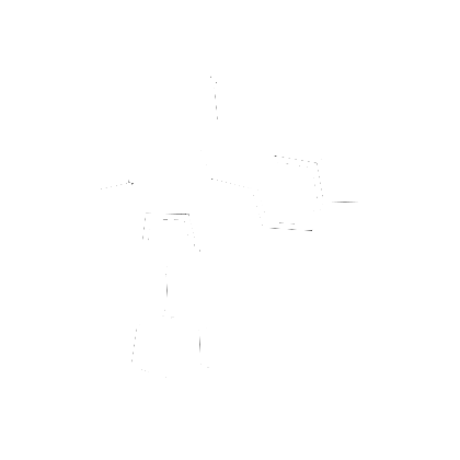 NCCC(c1ccc(Cl)cc1)c1nc(N2CCOCC2)sc1C(=O)O